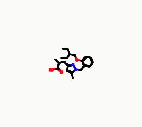 CCC(CC)COc1ccccc1Cn1nc(CC(C)C(=O)O)cc1C